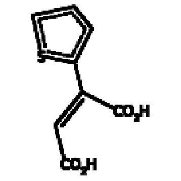 O=C(O)/C=C(\C(=O)O)c1cccs1